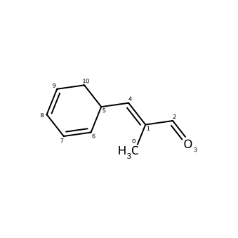 C/C(C=O)=C\C1C=CC=CC1